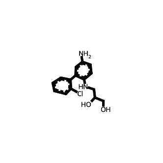 Nc1ccc(NCC(O)CO)c(-c2ccccc2Cl)c1